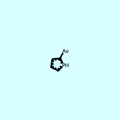 [As]c1ccc[pH]1